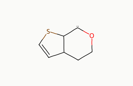 [C]1OCCC2C=CSC12